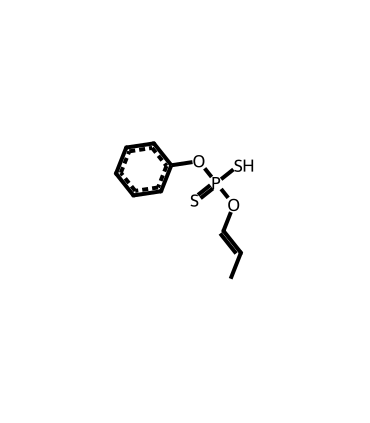 CC=COP(=S)(S)Oc1ccccc1